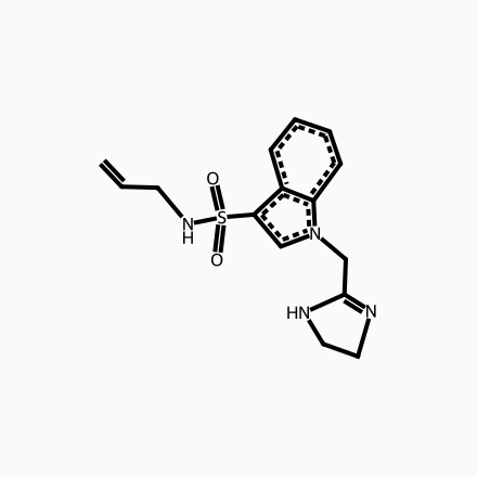 C=CCNS(=O)(=O)c1cn(CC2=NCCN2)c2ccccc12